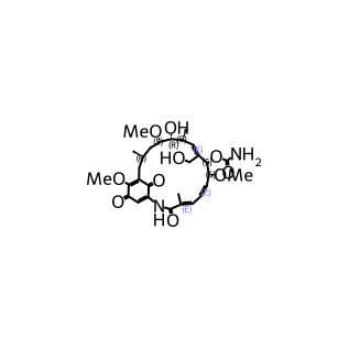 COC1=C2C[C@@H](C)C[C@H](OC)[C@H](O)[C@@H](C)/C=C(\CO)[C@H](OC(N)=O)[C@@H](OC)/C=C\C=C(/C)C(=O)NC(=CC1=O)C2=O